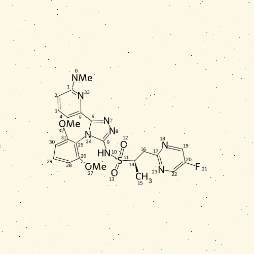 CNc1cccc(-c2nnc(NS(=O)(=O)[C@H](C)Cc3ncc(F)cn3)n2-c2c(OC)cccc2OC)n1